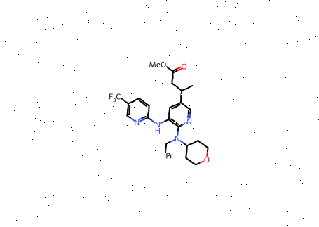 COC(=O)CC(C)c1cnc(N(CC(C)C)C2CCOCC2)c(Nc2ccc(C(F)(F)F)cn2)c1